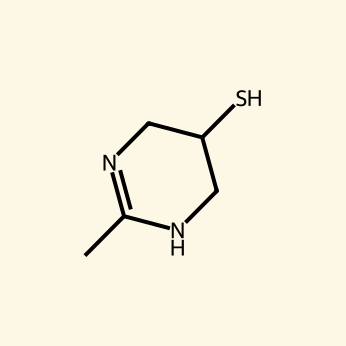 CC1=NCC(S)CN1